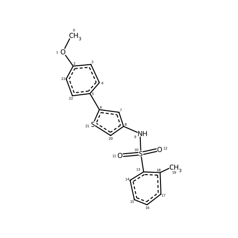 COc1ccc(-c2cc(NS(=O)(=O)c3ccccc3C)cs2)cc1